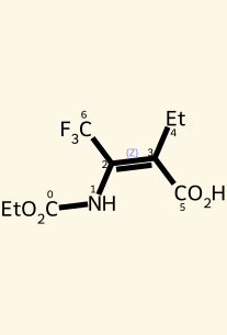 CCOC(=O)N/C(=C(/CC)C(=O)O)C(F)(F)F